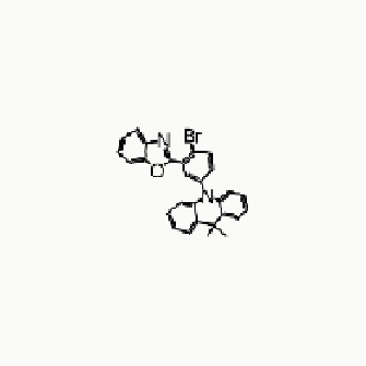 CC1(C)c2ccccc2N(c2ccc(Br)c(-c3nc4ccccc4o3)c2)c2ccccc21